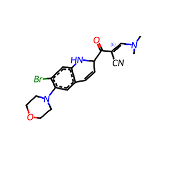 CN(C)/C=C(\C#N)C(=O)C1C=Cc2cc(N3CCOCC3)c(Br)cc2N1